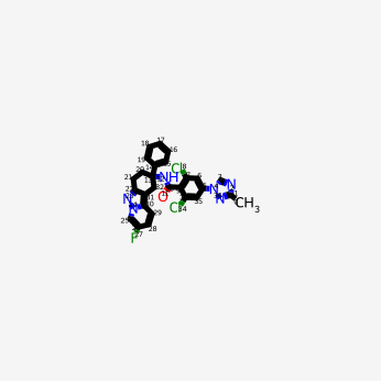 Cc1ncn(-c2cc(Cl)c(C(=O)NC3(c4ccccc4)CCc4nn5cc(F)ccc5c4C3)c(Cl)c2)n1